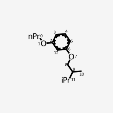 CCCOc1cccc(OC[C](C)C(C)C)c1